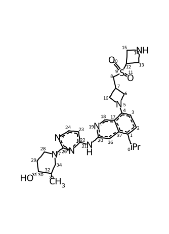 CC(C)c1ccc(N2CC(CS(=O)(=O)C3CNC3)C2)c2cnc(Nc3ccnc(N4CC[C@@H](O)[C@H](C)C4)n3)cc12